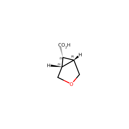 O=C(O)[C@@H]1[C@@H]2COC[C@@H]21